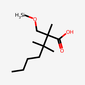 CCCCC(C)(C)C(C)(CO[SiH3])C(=O)O